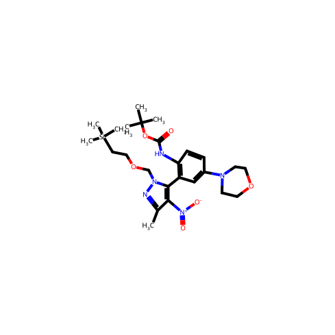 Cc1nn(COCC[Si](C)(C)C)c(-c2cc(N3CCOCC3)ccc2NC(=O)OC(C)(C)C)c1[N+](=O)[O-]